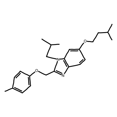 Cc1ccc(OCc2nc3ccc(OCCC(C)C)cc3n2CC(C)C)cc1